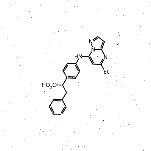 CCc1cc(Nc2ccc(C(Cc3ccccc3)C(=O)O)cc2)n2nccc2n1